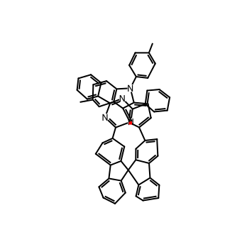 Cc1ccc(-n2c3ccc(C)cc3c3cc(-c4ccc5c(c4)C4(c6ccccc6-5)c5ccccc5-c5ccc(-c6nc(-c7ccccc7)nc(-c7ccccc7)n6)cc54)ccc32)cc1